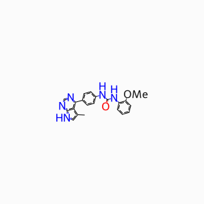 COc1ccccc1NC(=O)Nc1ccc(-c2ncnc3[nH]cc(C)c23)cc1